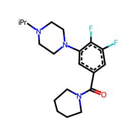 CC(C)N1CCN(c2cc(C(=O)N3CCCCC3)cc(F)c2F)CC1